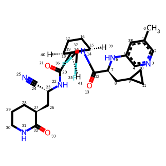 Cc1cncc(N[C@@H](CC2CC2)C(=O)N2[C@@H]3CC[C@H]([C@@H]2C(=O)N[C@@H](C#N)C[C@@H]2CCCNC2=O)C(F)(F)C3)c1